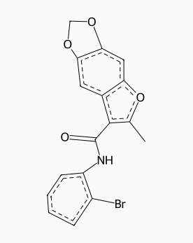 Cc1oc2cc3c(cc2c1C(=O)Nc1ccccc1Br)OCO3